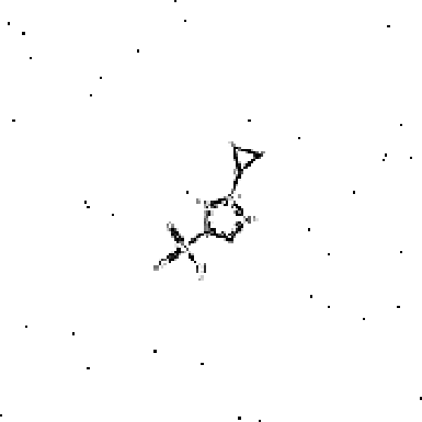 O=S(=O)(Cl)c1cnn(C2CC2)n1